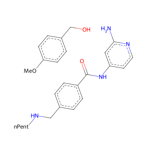 CCCCCNCc1ccc(C(=O)Nc2ccnc(N)c2)cc1.COc1ccc(CO)cc1